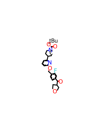 CC(C)(C)OC(=O)N1CCC(c2cccc(OCc3ccc(C(=O)C4CCOCC4)cc3F)n2)CC1